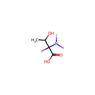 CC(O)C(I)(C(=O)O)N(I)I